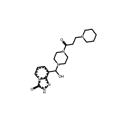 O=C(CCN1CCCCC1)N1CCN(C(O)c2cccn3c(=O)[nH]nc23)CC1